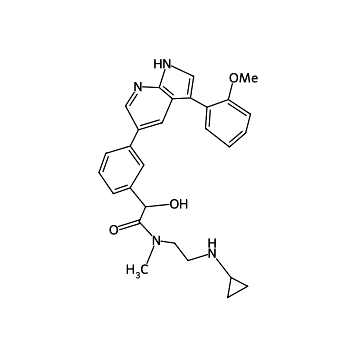 COc1ccccc1-c1c[nH]c2ncc(-c3cccc(C(O)C(=O)N(C)CCNC4CC4)c3)cc12